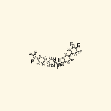 FC(F)=C(F)c1ccc(-c2cnc(C(F)(F)Oc3ccc(-c4cc(F)c(F)c(F)c4)cc3)nc2)cc1